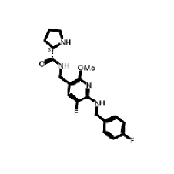 COc1nc(NCc2ccc(F)cc2)c(F)cc1CNC(=O)[C@@H]1CCCN1